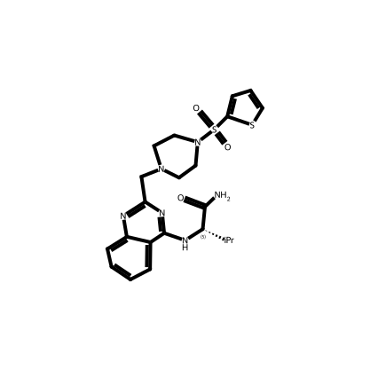 CC(C)[C@H](Nc1nc(CN2CCN(S(=O)(=O)c3cccs3)CC2)nc2ccccc12)C(N)=O